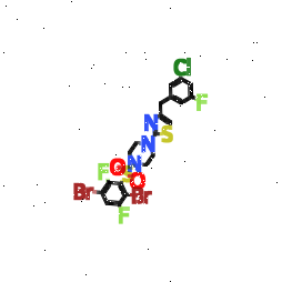 O=S(=O)(c1c(F)c(Br)cc(F)c1Br)N1CCN(c2nc(Cc3cc(F)cc(Cl)c3)cs2)CC1